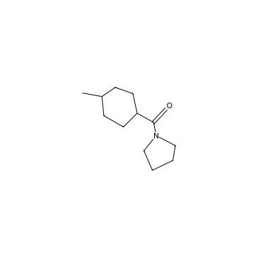 CC1CCC(C(=O)N2CCCC2)CC1